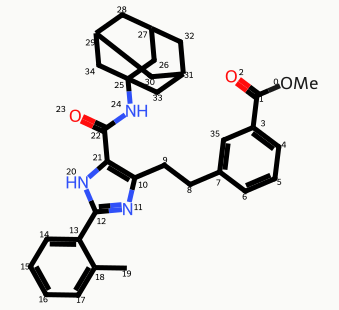 COC(=O)c1cccc(CCc2nc(-c3ccccc3C)[nH]c2C(=O)NC23CC4CC(CC(C4)C2)C3)c1